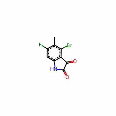 Cc1c(F)cc2c(c1Br)C(=O)C(=O)N2